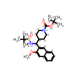 COc1cc2ccccc2cc1C(N[S@@+]([O-])C(C)(C)C)C1CCN(C(=O)OC(C)(C)C)CC1